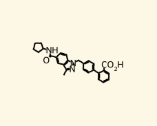 Cc1nn(Cc2ccc(-c3ccccc3C(=O)O)cc2)c2ccc(C(=O)NC3CCCC3)cc12